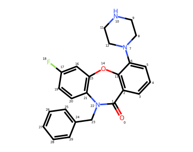 O=C1c2cccc(N3CCNCC3)c2Oc2cc(F)ccc2N1Cc1ccccc1